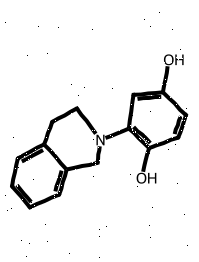 Oc1ccc(O)c(N2CCc3ccccc3C2)c1